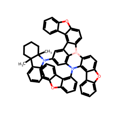 CC12CCCCC1(C)N(c1cc3c4c(c1)N(c1cccc5oc6ccccc6c15)c1c(ccc5oc6ccccc6c15)B4c1ccc4oc5ccccc5c4c1-3)c1ccccc12